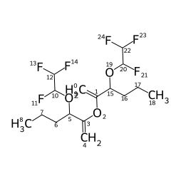 C=C(OC(=C)C(CCC)OC(F)C(F)F)C(CCC)OC(F)C(F)F